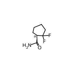 NC(=O)[C@H]1CCCCC1(F)F